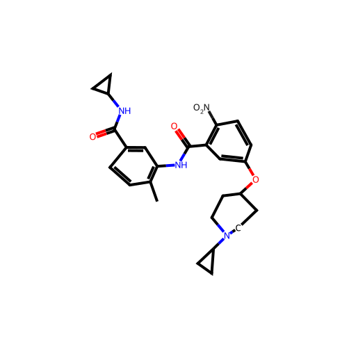 Cc1ccc(C(=O)NC2CC2)cc1NC(=O)c1cc(OC2CCN(C3CC3)CC2)ccc1[N+](=O)[O-]